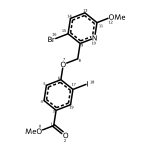 COC(=O)c1ccc(OCc2nc(OC)ccc2Br)c(I)c1